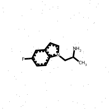 CC(N)Cn1ccc2cc(F)ccc21